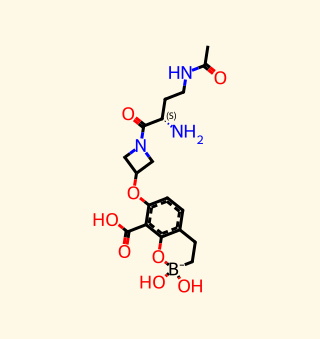 CC(=O)NCC[C@H](N)C(=O)N1CC(Oc2ccc3c(c2C(=O)O)O[B-](O)(O)CC3)C1